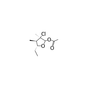 CC[C@H]1OC(OC(C)=O)[C@](C)(Cl)[C@@H]1C